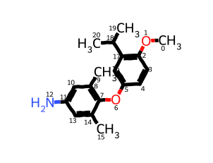 COc1ccc(Oc2c(C)cc(N)cc2C)cc1C(C)C